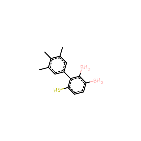 Bc1ccc(S)c(-c2cc(C)c(C)c(C)c2)c1B